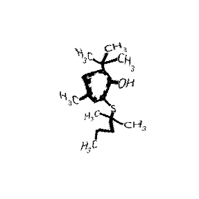 CCCC(C)(C)Sc1cc(C)cc(C(C)(C)C)c1O